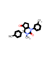 CN1C(=O)N(c2cccc(C(F)(F)F)c2)C2=C(C(=O)CC2)[C@H]1c1ccc(C#N)cc1